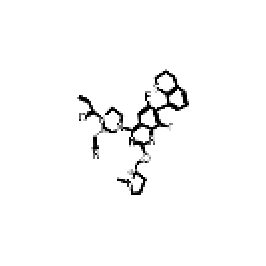 C=CC(=O)N1CCN(c2nc(OC[C@@H]3CCCN3C)nc3c(F)c(-c4cccc5c4SCCC5)c(F)cc23)C[C@@H]1CC#N